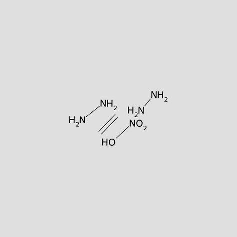 C=C.NN.NN.O=[N+]([O-])O